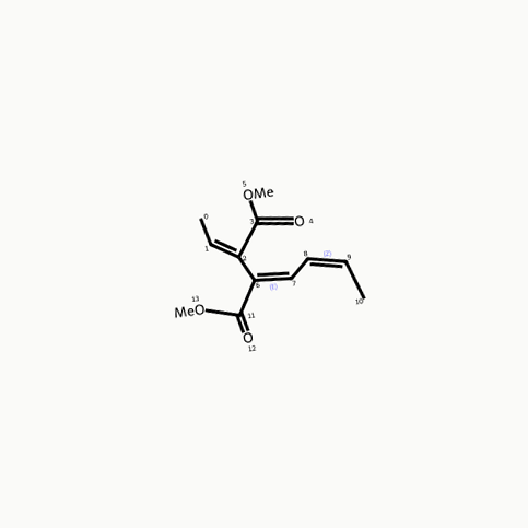 CC=C(C(=O)OC)/C(=C\C=C/C)C(=O)OC